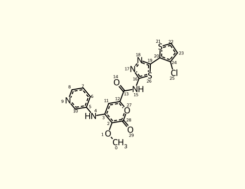 COc1c(Nc2cccnc2)cc(C(=O)Nc2nnc(-c3sccc3Cl)s2)oc1=O